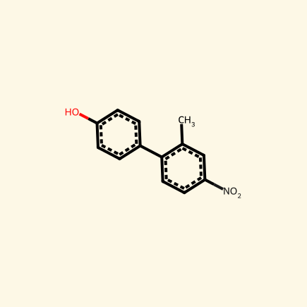 Cc1cc([N+](=O)[O-])ccc1-c1ccc(O)cc1